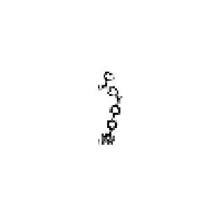 O=C(C1CCCO1)N1CCC2(CC1)C[C@@H]2c1ccc(-c2ccc(-c3nn[nH]n3)cc2)cc1